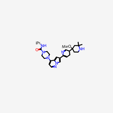 COC1(C2C=NC(c3cc4c(N5CCN(C(=O)NC(C)C)CC5)ccnn4c3)=CC2)CCNC(C)(C)C1